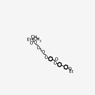 CCOc1ccc(-c2ccc(OC(=O)c3ccc(OCCOCCOCCOC(=O)C(C)(C)CC)cc3)cc2)cc1